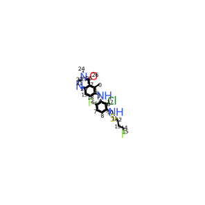 Cc1c(Nc2c(F)ccc(NSCCCF)c2Cl)ccc2ncn(C)c(=O)c12